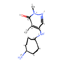 CCn1ncc(NC2CCC(N)CC2)c(C(F)(F)F)c1=O